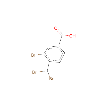 O=C(O)c1ccc(C(Br)Br)c(Br)c1